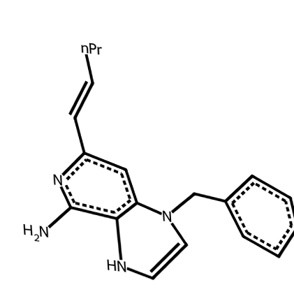 CCCC=Cc1cc2c(c(N)n1)NC=CN2Cc1ccccc1